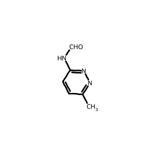 Cc1ccc(NC=O)nn1